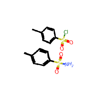 Cc1ccc(S(=O)(=O)Cl)cc1.Cc1ccc(S(N)(=O)=O)cc1